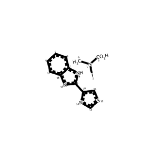 CN(I)C(=O)O.c1ccc2[nH]c(-c3cscn3)nc2c1